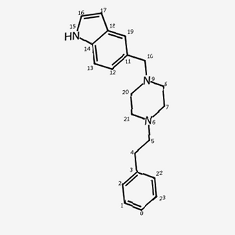 c1ccc(CCN2CCN(Cc3ccc4[nH]ccc4c3)CC2)cc1